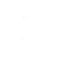 CC(O)c1ccc(F)c(F)c1F